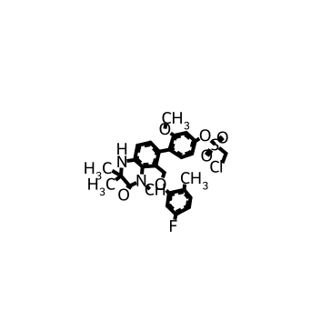 COc1cc(OS(=O)(=O)CCl)ccc1-c1ccc2c(c1COc1cc(F)ccc1C)N(C)C(=O)C(C)(C)N2